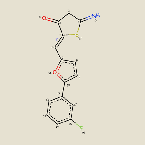 N=C1CC(=O)/C(=C/c2ccc(-c3cccc(F)c3)o2)S1